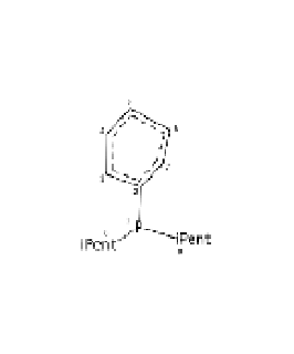 CCCC(C)P(c1ccccc1)C(C)CCC